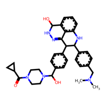 CN(C)Cc1ccc(C2Nc3cccc4c3C(=NNC4O)C2c2ccc(C(O)N3CCN(C(=O)C4CC4)CC3)cc2)cc1